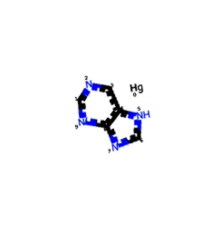 [Hg].c1ncc2[nH]cnc2n1